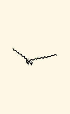 CCCCCCCCCCCCCCCCC1N(CCCCCCCCCCC)C=CN1C(C)C